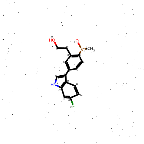 C[S+]([O-])c1ccc(-c2c[nH]c3cc(F)ccc23)cc1CCO